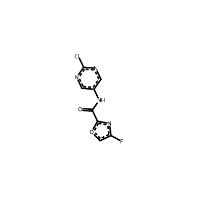 O=C(Nc1cnc(Cl)nc1)c1nc(F)co1